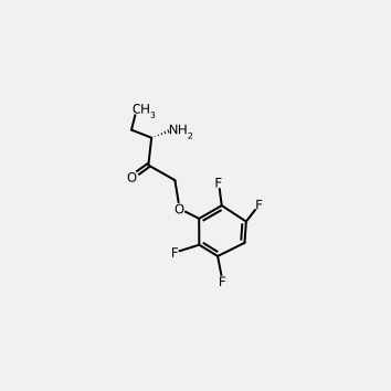 CC[C@H](N)C(=O)COc1c(F)c(F)cc(F)c1F